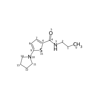 CCCNC(=O)c1ccc(N2CCCC2)s1